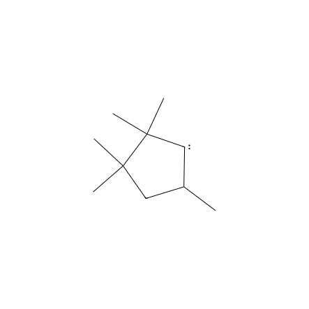 CC1[C]C(C)(C)C(C)(C)C1